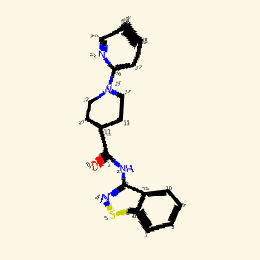 O=C(Nc1nsc2ccccc12)C1CCN(c2ccccn2)CC1